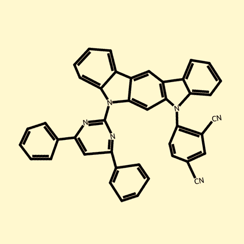 N#Cc1ccc(-n2c3ccccc3c3cc4c5ccccc5n(-c5nc(-c6ccccc6)cc(-c6ccccc6)n5)c4cc32)c(C#N)c1